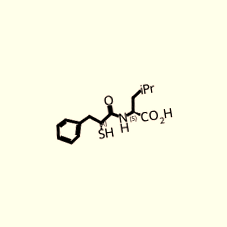 CC(C)C[C@H](NC(=O)[C@H](S)Cc1ccccc1)C(=O)O